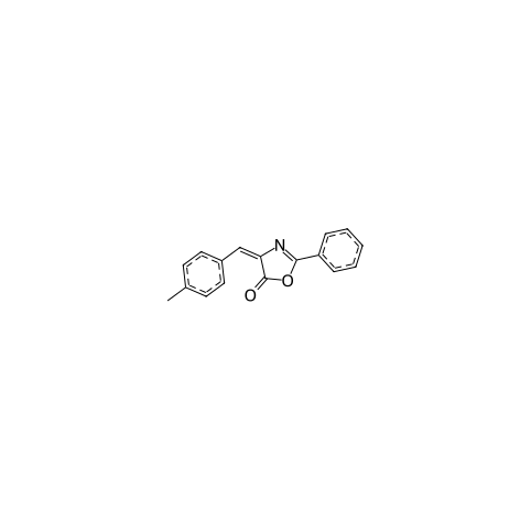 Cc1ccc(/C=C2/N=C(c3ccccc3)OC2=O)cc1